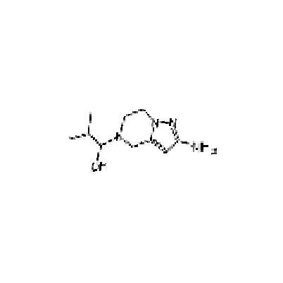 CC(C)C(O)N1CCn2nc(N)cc2C1